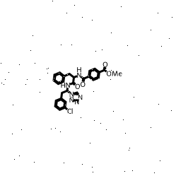 COC(=O)c1ccc(C(=O)NC(Cc2ccccc2)C(=O)NC(Cc2cccc(Cl)c2)n2cnnn2)cc1